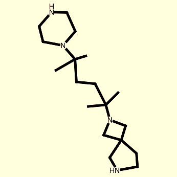 CC(C)(CCC(C)(C)N1CC2(CCNC2)C1)N1CCNCC1